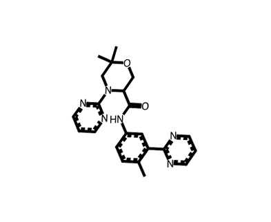 Cc1ccc(NC(=O)C2COC(C)(C)CN2c2ncccn2)cc1-c1ncccn1